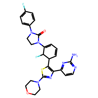 Nc1nccc(-c2nc(N3CCOCC3)sc2C2C=CC=C(N3CCN(c4ccc(F)cc4)C3=O)C2F)n1